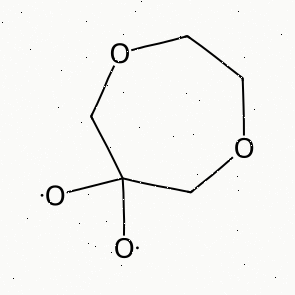 [O]C1([O])COCCOC1